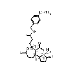 COc1ccc(CNC(=O)CC[C@@]2(C)OC(=O)CC[C@@H]3[C@@H]2C(=O)C[C@]2(C)C(=O)CC[C@@H]32)cc1